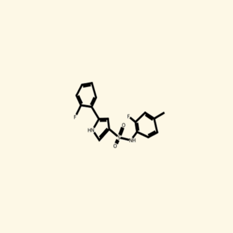 Cc1ccc(NS(=O)(=O)c2c[nH]c(-c3ccccc3F)c2)c(F)c1